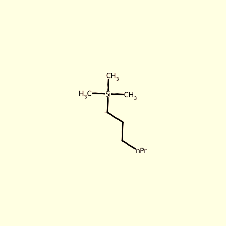 CCCCC[CH][Si](C)(C)C